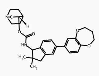 CC1(C)Cc2cc(-c3ccc4c(c3)OCCCO4)ccc2C1NC(=O)O[C@@H]1CN2CCC1CC2